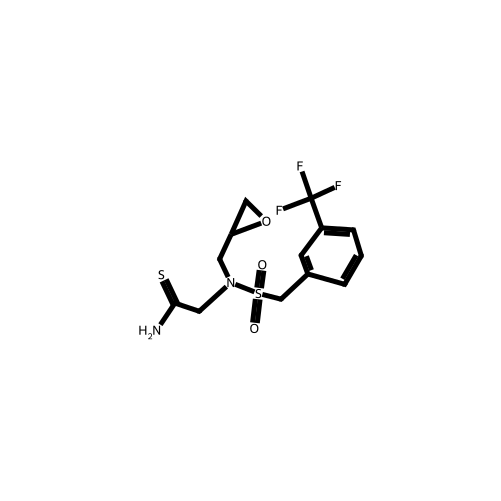 NC(=S)CN(CC1CO1)S(=O)(=O)Cc1cccc(C(F)(F)F)c1